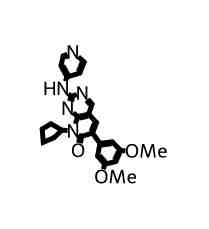 COc1cc(OC)cc(-c2cc3cnc(Nc4ccncc4)nc3n(C3CCCC3)c2=O)c1